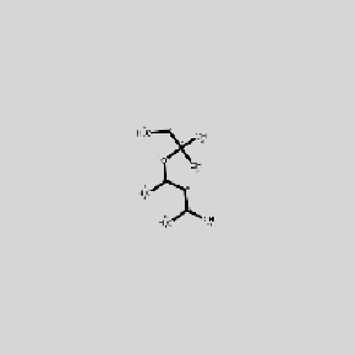 CCC(O)(O)OC(C)CC(C)C